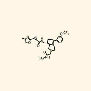 Cc1noc(C2CC2C(=O)NCc2ccc(-c3cccc(OC(F)(F)F)c3)c3c2CN(CC(=O)NC(C)(C)C)CC3)n1